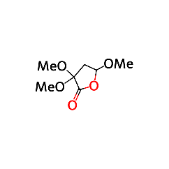 COC1CC(OC)(OC)C(=O)O1